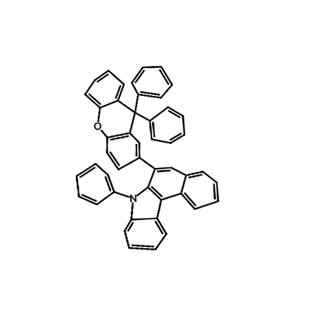 c1ccc(-n2c3ccccc3c3c4ccccc4cc(-c4ccc5c(c4)C(c4ccccc4)(c4ccccc4)c4ccccc4O5)c32)cc1